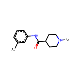 CC(=O)c1cccc(NC(=O)C2CCN(C(C)=O)CC2)c1